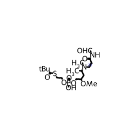 COC(COP(=O)(O)OCCSC(=O)C(C)(C)C)CC(C)N(C)/C=C\C(=O)NC=O